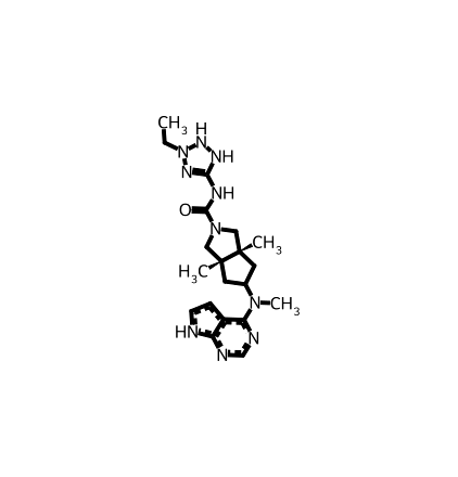 CCN1N=C(NC(=O)N2C[C@]3(C)CC(N(C)c4ncnc5[nH]ccc45)C[C@]3(C)C2)NN1